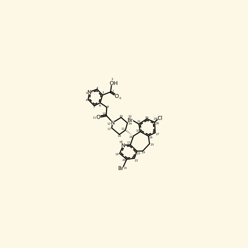 O=C(O)c1cnccc1CC(=O)N1CCC([C@H]2c3ncc(Br)cc3CCc3cc(Cl)cc(Br)c32)CC1